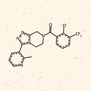 Cc1ncccc1-c1nnc2n1CCN(C(=O)c1cccc(C(F)(F)F)c1Cl)C2